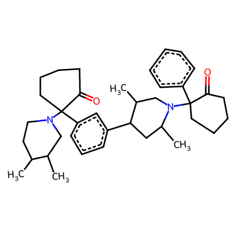 CC1CCN(C2(c3cccc(C4CC(C)N(C5(c6ccccc6)CCCCC5=O)CC4C)c3)CCCCC2=O)CC1C